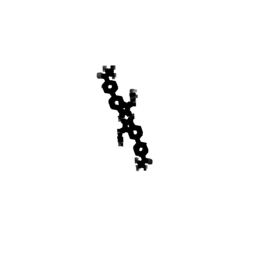 [C-]#[N+]/N=c1\c2cc(-c3ccc(C(=O)C(F)(F)F)cc3)ccc2c2nc3/c(=N/C#N)c4cc(-c5ccc(C(=O)C(F)(F)F)cc5)ccc4c3nc12